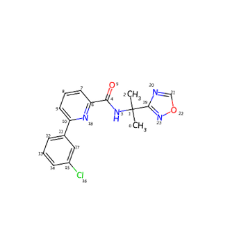 CC(C)(NC(=O)c1cccc(-c2cccc(Cl)c2)n1)c1ncon1